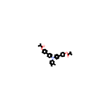 C=C(C)C(=O)Oc1ccc(-c2ccc(N(c3ccc(-c4ccc(OC(=O)C(=C)C)cc4)cc3)c3ccc(C)c(C)c3)cc2)cc1